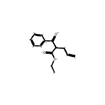 C=CCC(C(=O)OCC)C(=O)c1ccccc1